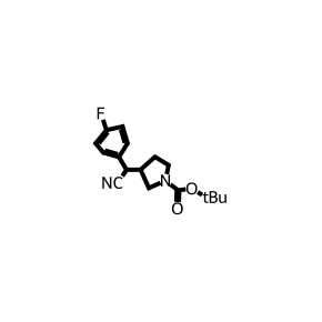 CC(C)(C)OC(=O)N1CCC(C(C#N)c2ccc(F)cc2)C1